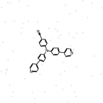 N#Cc1ccc(N(c2ccc(-c3ccncc3)cc2)c2ccc(-c3ccncc3)cc2)cc1